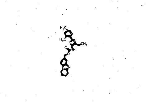 CCc1nc(-c2ccc(C)cc2C)sc1NC(=O)OCc1ccc2c(c1)nc1n2CCCC1